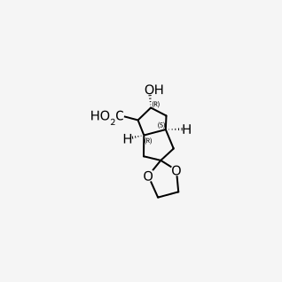 O=C(O)C1[C@H](O)C[C@H]2CC3(C[C@@H]12)OCCO3